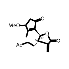 C=C1C(=O)O[C@H](C2=C(C)C(OC)CC2=O)[C@H]1CCC(C)=O